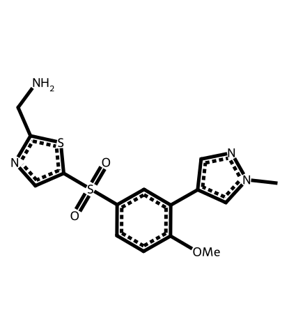 COc1ccc(S(=O)(=O)c2cnc(CN)s2)cc1-c1cnn(C)c1